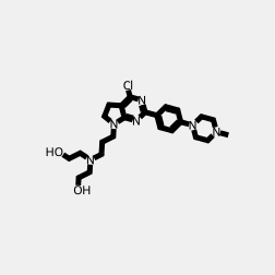 CN1CCN(c2ccc(-c3nc(Cl)c4c(n3)N(CCCN(CCO)CCO)CC4)cc2)CC1